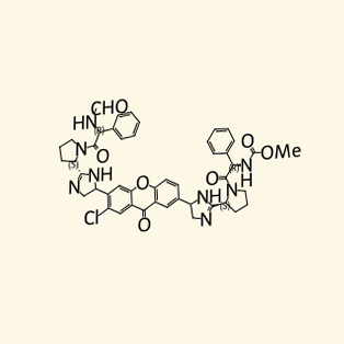 COC(=O)N[C@@H](C(=O)N1CCC[C@H]1C1=NCC(c2ccc3oc4cc(C5CN=C([C@@H]6CCCN6C(=O)[C@H](NC=O)c6ccccc6)N5)c(Cl)cc4c(=O)c3c2)N1)c1ccccc1